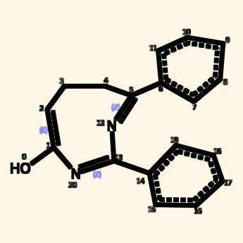 OC1=C/CC/C(c2ccccc2)=N/C(c2ccccc2)=N\1